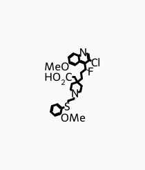 COc1ccc2ncc(Cl)c([C@H](F)CCC3(CC(=O)O)CCN(CCSc4ccccc4OC)CC3)c2c1